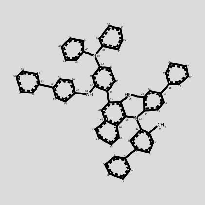 Cc1ccc(-c2ccccc2)cc1N1c2ccc(-c3ccccc3)cc2Bc2c(-c3ccc(N(c4ccccc4)c4ccccc4)cc3Nc3ccc(-c4ccccc4)cc3)cc3ccccc3c21